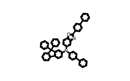 c1ccc(-c2ccc(-c3nc4cc(N(c5ccc(-c6ccccc6)cc5)c5ccc6c(c5)C(c5ccccc5)(c5ccccc5)c5ccccc5-6)ccc4o3)cc2)cc1